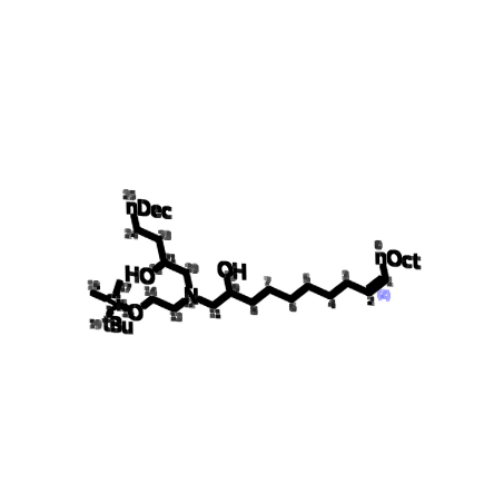 CCCCCCCC/C=C\CCCCCCC(O)CN(CCO[Si](C)(C)C(C)(C)C)CC(O)CCCCCCCCCCCC